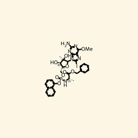 COc1nc(N)nc2c1nc(I)n2C1O[C@H](COP(=O)(N[C@@H](C)C(=O)OCc2ccccc2)Oc2cccc3ccccc23)[C@@H](O)[C@@]1(C)O